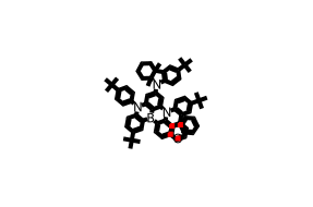 CC(C)(C)c1ccc(N2c3ccc(C(C)(C)C)cc3B3c4ccc5oc6ccccc6c5c4N(c4ccc(C(C)(C)C)cc4-c4ccccc4)c4cc(N5c6ccc(C(C)(C)C)cc6C6(C)CCCCC56C)cc2c43)cc1